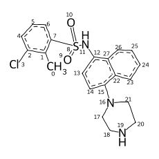 Cc1c(Cl)cccc1S(=O)(=O)Nc1ccc(N2CCNCC2)c2ccccc12